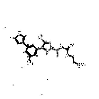 COCCOC(=O)OC(C)n1nc(C#N)c(-c2cc(-c3ccsc3)cc(C(F)(F)F)c2)n1